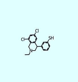 CCN1Cc2c(Cl)cc(Cl)cc2C(c2cccc(S)c2)C1